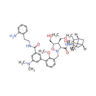 COc1c(CN2O[C@@H](CO)[C@@H]([C@H](C)O)[C@H]2C(=O)N[C@H]2C[C@H]3C[C@@H]([C@@H]2C)C3(C)C)cccc1-c1cc(C(=O)NCCc2ccccc2N)cc(N(C)C)c1